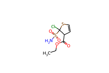 CCOC(=O)C1C=CSC1(Cl)S(N)(=O)=O